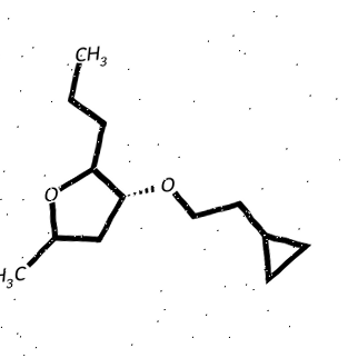 CCCC1OC(C)C[C@H]1OCCC1CC1